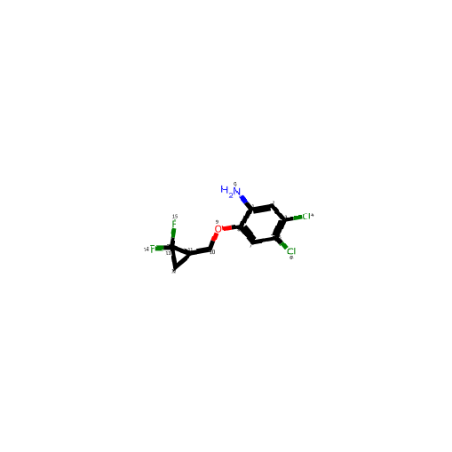 Nc1cc(Cl)c(Cl)cc1OCC1CC1(F)F